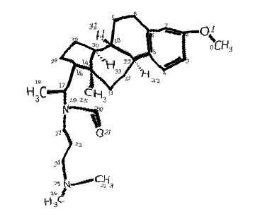 COc1ccc2c(c1)CC[C@@H]1[C@@H]2CC[C@]2(C)C(C(C)N(C=O)CCCN(C)C)CC[C@@H]12